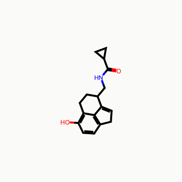 O=C(NCC1CCc2c(O)ccc3c2C1=CC3)C1CC1